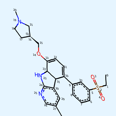 CCS(=O)(=O)c1cccc(C2=CC=C(OC[C@H]3CCN(C)C3)C3Nc4ncc(C)cc4C23)c1